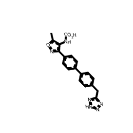 Cc1onc(-c2ccc(-c3ccc(Cc4nn[nH]n4)cc3)cc2)c1NC(=O)O